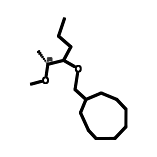 CCCC(OCC1CCCCCCCC1)[C@@H](C)OC